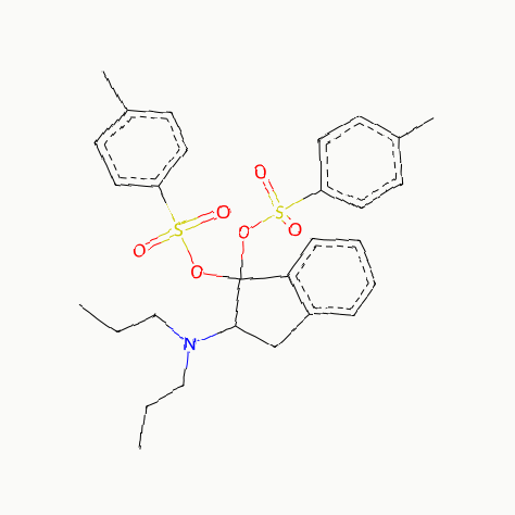 CCCN(CCC)C1Cc2ccccc2C1(OS(=O)(=O)c1ccc(C)cc1)OS(=O)(=O)c1ccc(C)cc1